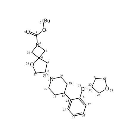 CC(C)(C)OC(=O)N1CC2(C[C@H](N3CCC(c4ccccc4O[C@@H]4CCOC4)CC3)CO2)C1